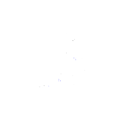 CCN(C)C=Nc1cc(C)c(N(C)c2ccc(Cl)cc2)cc1C.Cl